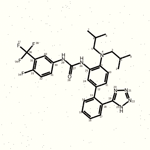 CC(C)CN(CC(C)C)c1ccc(-c2ccccc2-c2nnn[nH]2)cc1NC(=O)Nc1ccc(F)c(C(F)(F)F)c1